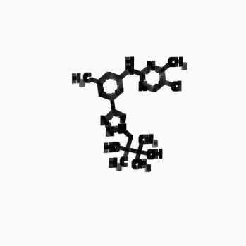 Cc1cc(Nc2ncc(Cl)c(C)n2)cc(-c2cn(CC(C)(O)C(C)(C)O)nn2)c1